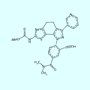 C#Cc1cc(C(=O)N(C)C)ccc1-n1nc(-c2cccnc2)c2c1-c1sc(NC(=O)OC)nc1CC2